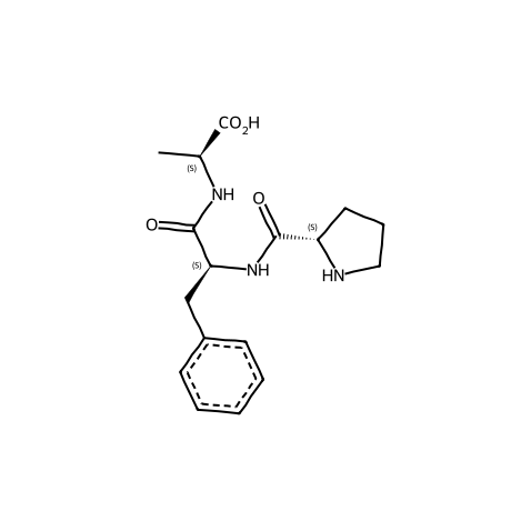 C[C@H](NC(=O)[C@H](Cc1ccccc1)NC(=O)[C@@H]1CCCN1)C(=O)O